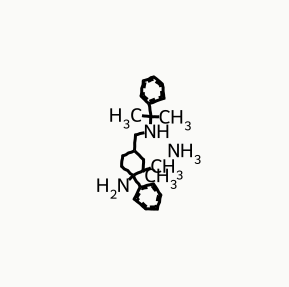 CC(C)(NCC1CCC(N)(c2ccccc2)C(C)(C)C1)c1ccccc1.N